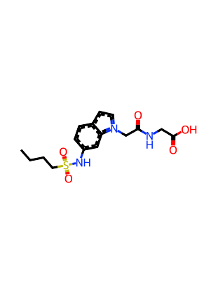 CCCCS(=O)(=O)Nc1ccc2ccn(CC(=O)NCC(=O)O)c2c1